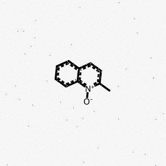 Cc1ccc2ccccc2[n+]1[O-]